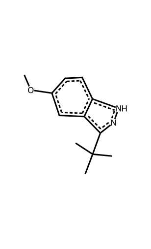 COc1ccc2[nH]nc(C(C)(C)C)c2c1